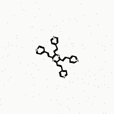 C(=C\c1nc(/C=C/c2ccncc2)c(/C=C/c2ccncc2)nc1/C=C/c1ccncc1)/c1ccncc1